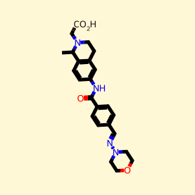 CC1c2ccc(NC(=O)c3ccc(C=NN4CCOCC4)cc3)cc2CCN1CC(=O)O